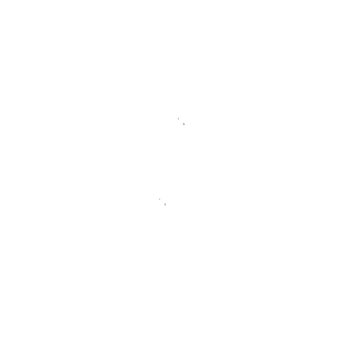 C[n+]1c(/C=C2\C=C(Cl)N(c3ccccc3)c3ccccc32)oc2ccccc21